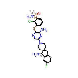 C[SH](N)(=O)c1cccc(Sc2ncc(N3CCC4(CC3)Cc3ccc(F)cc3[C@H]4N)nc2N)c1Cl